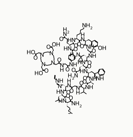 C=CN/C=N\C[C@H](NC(=O)CNC(=O)[C@@H](NC(=O)[C@H](C)NC(=O)[C@H](Cc1c[nH]c2ccccc12)NC(=O)[C@H](CCC(N)=O)NC(=O)[C@H](CC(N)=O)NC(=O)CNC(=O)[C@H](Cc1ccc(O)cc1)NC(=O)[C@H](CCCCN)NC(=O)[C@H](CCC(N)=O)NC(=O)c1ccc(NC(=O)CNC(=O)CN2CCN(CC(=O)O)CCN(CC(=O)O)CCN(CC(=O)O)CC2)cc1)C(C)C)C(=O)N[C@@H](CC(C)C)C(=O)N[C@@H](CCSC)C(N)=O